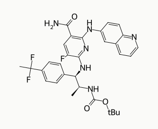 C[C@H](NC(=O)OC(C)(C)C)[C@H](Nc1nc(Nc2ccc3ncccc3c2)c(C(N)=O)cc1F)c1ccc(C(C)(F)F)cc1